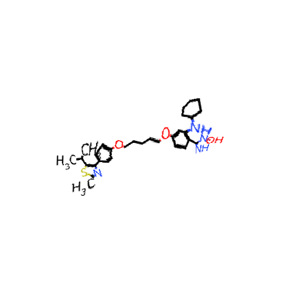 Cc1nc(-c2ccc(OCCCCCOc3ccc(C(=N)NO)c(NC4CCCCC4)c3)cc2)c(C(C)C)s1